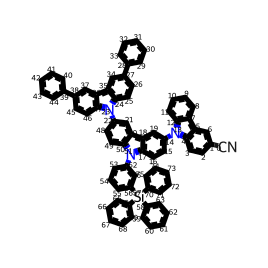 N#Cc1ccc2c(c1)c1ccccc1n2-c1ccc2c(c1)c1cc(-n3c4ccc(-c5ccccc5)cc4c4cc(-c5ccccc5)ccc43)ccc1n2-c1cccc([Si](c2ccccc2)(c2ccccc2)c2ccccc2)c1